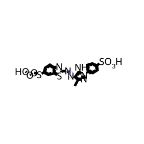 Cc1nn(-c2ccc(S(=O)(=O)O)cc2)c(N)c1/N=N/c1nc2ccc(SOOO)cc2s1